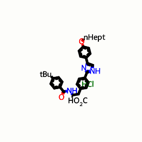 CCCCCCCOc1ccc(-c2c[nH]c(-c3ccc(C[C@H](NC(=O)c4ccc(C(C)(C)C)cc4)C(=O)O)cc3)n2)cc1.Cl